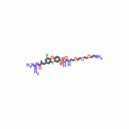 C/C(=C\c1cc(F)c(Oc2ccc(S(=O)(=O)NC(=O)NCCOCCOCCOCCN)cc2)c(F)c1)C(=O)N=C(N)N